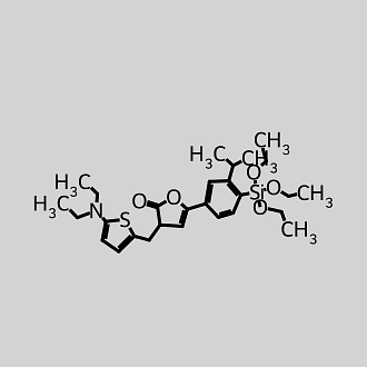 CCO[Si](OCC)(OCC)c1ccc(C2=CC(Cc3ccc(N(CC)CC)s3)C(=O)O2)cc1C(C)C